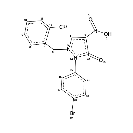 O=C(O)c1cn(Cc2ccccc2Cl)n(-c2ccc(Br)cc2)c1=O